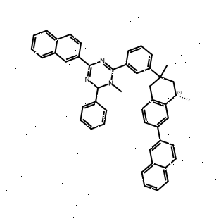 C[C@H]1CC(C)(c2cccc(C3=NC(c4ccc5ccccc5c4)=NC(c4ccccc4)N3C)c2)Cc2ccc(-c3ccc4ccccc4c3)cc21